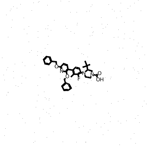 Cc1c(-c2ccc(OCc3ccccc3)nc2OCc2ccccc2)ccc(N2CCN(C(=O)O)CC2C(C)(C)C)c1F